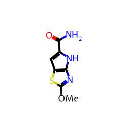 COc1nc2[nH]c(C(N)=O)cc2s1